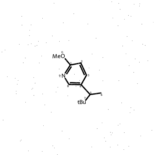 COc1ccc(C(C)C(C)(C)C)cn1